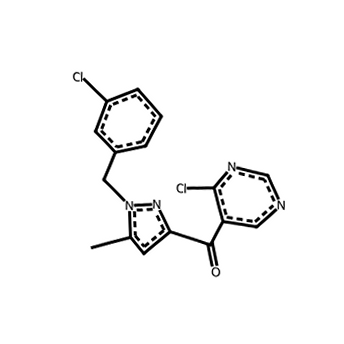 Cc1cc(C(=O)c2cncnc2Cl)nn1Cc1cccc(Cl)c1